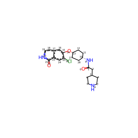 O=C(CC1CCNCC1)N[C@H]1CC[C@@H](Oc2cc3cc[nH]c(=O)c3cc2Cl)CC1